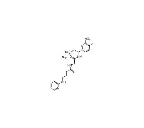 Cc1ccc(C(CC(=O)O)NC(=O)CNC(=O)CCCNc2ccccn2)cc1[N+](=O)[O-].[Na]